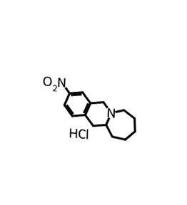 Cl.O=[N+]([O-])c1ccc2c(c1)CN1CCCCCC1C2